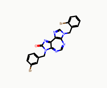 O=c1nc2c3ncn(Cc4ccccc4Br)c3ncnc-2n1Cc1cccc(Br)c1